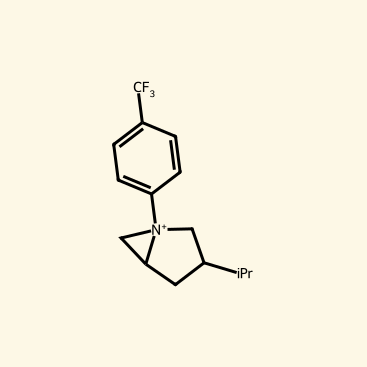 CC(C)C1CC2C[N+]2(c2ccc(C(F)(F)F)cc2)C1